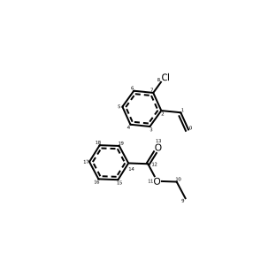 C=Cc1ccccc1Cl.CCOC(=O)c1ccccc1